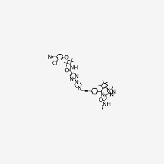 CCNC(=O)C[C@@H]1N=C(c2ccc(C#CCN3CCN(c4ncc(C(=O)NC5C(C)(C)C(Oc6ccc(C#N)c(Cl)c6)C5(C)C)cn4)CC3)cc2)c2c(sc(C)c2C)-n2c(C)nnc21